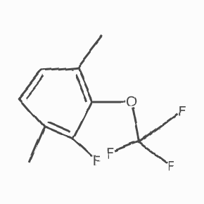 Cc1ccc(C)c(OC(F)(F)F)c1F